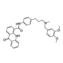 COc1ccc(CN(C)CCCc2ccc(NC(=O)c3cccc4c(=O)c5ccccc5[nH]c34)cc2)cc1OC